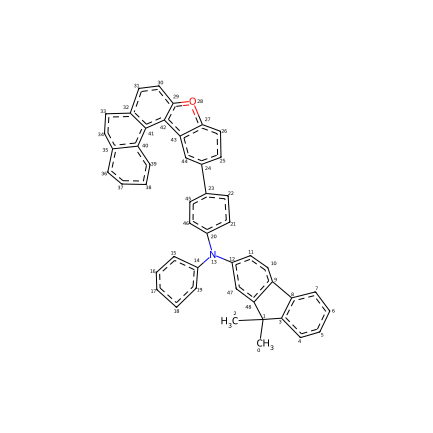 CC1(C)c2ccccc2-c2ccc(N(c3ccccc3)c3ccc(-c4ccc5oc6ccc7ccc8ccccc8c7c6c5c4)cc3)cc21